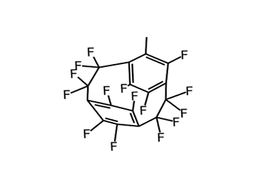 Cc1c(F)c2c(F)c(F)c1C(F)(F)C(F)(F)c1c(F)c(F)c(c(F)c1F)C(F)(F)C2(F)F